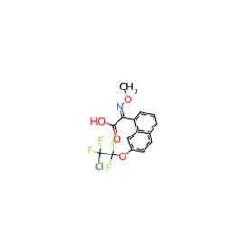 CO/N=C(/C(=O)O)c1cccc2ccc(OC(F)(F)C(F)(F)Cl)cc12